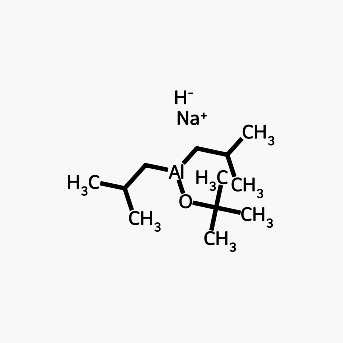 CC(C)[CH2][Al]([CH2]C(C)C)[O]C(C)(C)C.[H-].[Na+]